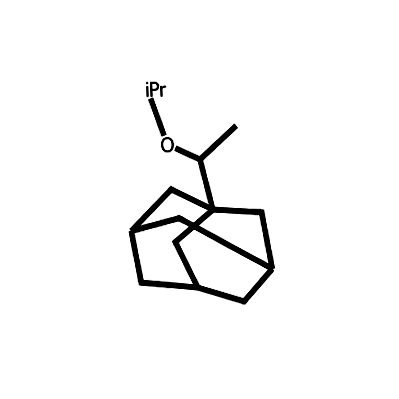 CC(C)OC(C)C12CC3CC(CC(C3)C1)C2